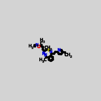 C=Cc1ccc(CC/C2=N/SC(C)/C(C/C=C(/C)ON=C)=N\N=C(/C)c3ccccc32)nc1